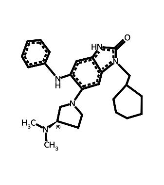 CN(C)[C@@H]1CCN(c2cc3c(cc2Nc2ccccc2)[nH]c(=O)n3CC2CCCCC2)C1